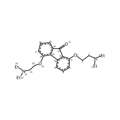 CCN(CC)CCOc1cccc2c1C(=O)c1cccc(OCCN(CC)CC)c1-2